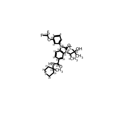 CC(n1c(=O)n(-c2cccc(OC(F)F)c2)c2ccc(C(=O)NC3(C)CCSCC3)cc21)C(C)(C)O